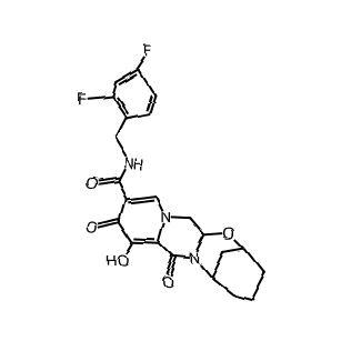 O=C(NCc1ccc(F)cc1F)c1cn2c(c(O)c1=O)C(=O)N1C3CCCC(C3)OC1C2